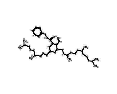 CC(C)CCCC(C)CCCC(C)CCC1CC(CCCC(C)CCCC(C)C)CC(C(=O)OCc2ccccc2)C1C=O